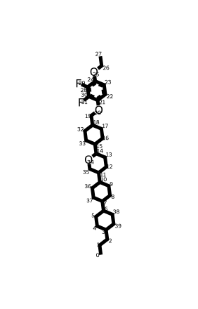 CCCC1CCC(C2CCC(C3CCC(C4CCC(COc5ccc(OCC)c(F)c5F)CC4)OC3)CC2)CC1